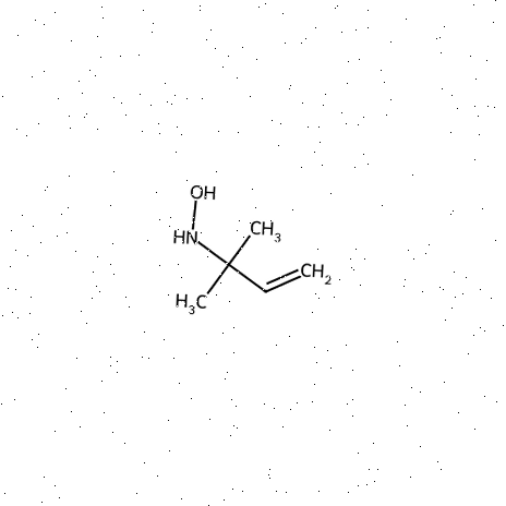 C=CC(C)(C)NO